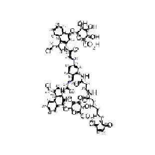 O=C(CCCCCN1C(=O)C=CC1=O)NCCC(=O)Nc1cc(/C=C/C(=O)N2C[C@@H](CCl)c3c2cc(O[C@@H]2O[C@H](C(=O)O)[C@@H](O)[C@H](O)[C@H]2O)c2ccccc32)ccc1/C=C/C(=O)N1C[C@@H](CCl)c2c1cc(O[C@@H]1O[C@H](C(=O)O)[C@@H](O)[C@H](O)[C@H]1O)c1ccccc21